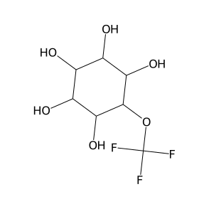 OC1C(O)C(O)C(OC(F)(F)F)C(O)C1O